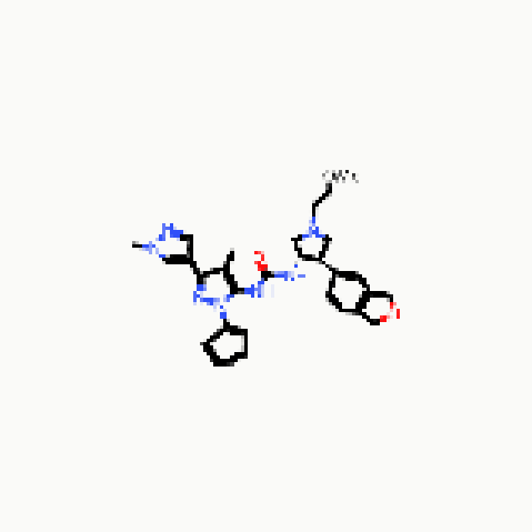 COCCN1C[C@@H](NC(=O)Nc2c(C)c(-c3cnn(C)c3)nn2-c2ccccc2)[C@H](c2ccc3c(c2)COC3)C1